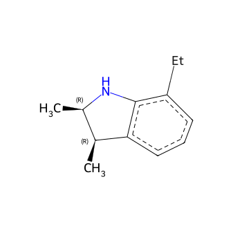 CCc1cccc2c1N[C@H](C)[C@@H]2C